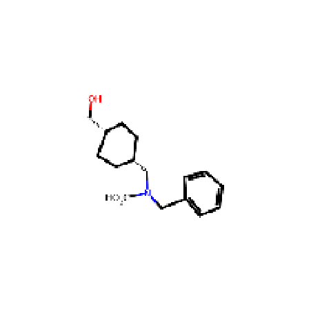 O=C(O)N(Cc1ccccc1)C[C@H]1CC[C@@H](CO)CC1